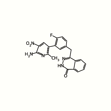 Cc1nc(N)c([N+](=O)[O-])cc1-c1cc(Cc2n[nH]c(=O)c3ccccc23)ccc1F